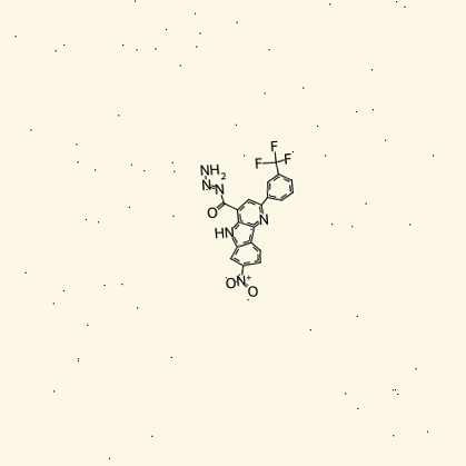 NN=NC(=O)c1cc(-c2cccc(C(F)(F)F)c2)nc2c1[nH]c1cc([N+](=O)[O-])ccc12